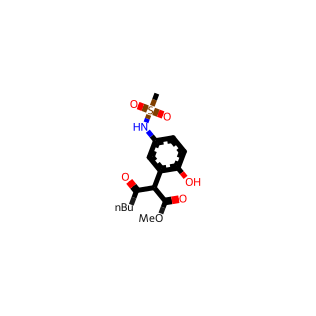 CCCCC(=O)C(C(=O)OC)c1cc(NS(C)(=O)=O)ccc1O